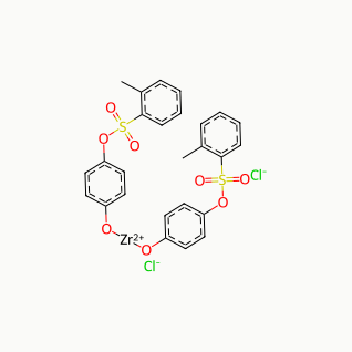 Cc1ccccc1S(=O)(=O)Oc1ccc([O][Zr+2][O]c2ccc(OS(=O)(=O)c3ccccc3C)cc2)cc1.[Cl-].[Cl-]